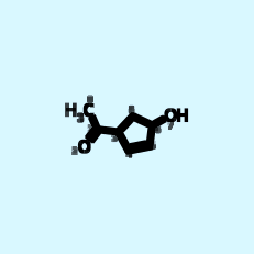 CC(=O)C1C=CC(O)C1